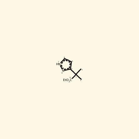 CCOC(=O)C(C)(C)c1cc[nH]n1